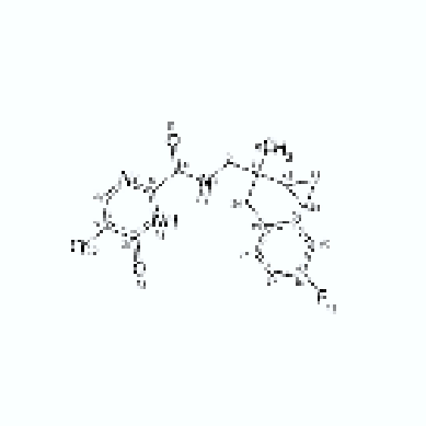 CC(CNC(=O)c1ncc(Cl)c(=O)[nH]1)(Cc1ccc(F)cc1)C1CC1